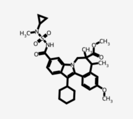 COC(=O)C1(C)Cn2c(c(C3CCCCC3)c3ccc(C(=O)NS(=O)(=O)N(C)C4CC4)cc32)-c2ccc(OC)cc2C1C